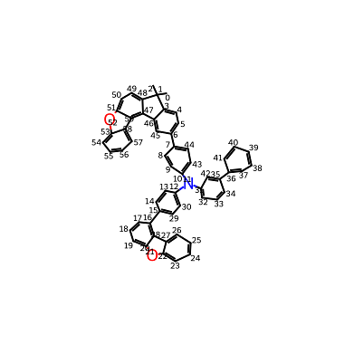 CC1(C)c2ccc(-c3ccc(N(c4ccc(-c5cccc6oc7ccccc7c56)cc4)c4cccc(-c5ccccc5)c4)cc3)cc2-c2c1ccc1oc3ccccc3c21